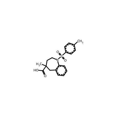 Cc1ccc(S(=O)(=O)N2CCC(C)(C(=O)O)Cc3ccccc32)cc1